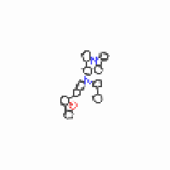 c1ccc(-c2cccc(N(c3ccc(-c4ccccc4-n4c5ccccc5c5ccccc54)cc3)c3ccc4cc(-c5cccc6c5oc5ccccc56)ccc4c3)c2)cc1